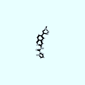 CN1CC(c2ccc3cnc(NC(=O)[C@H]4CCCN4)cc3c2)N=N1